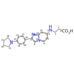 O=C(O)CCNc1ccn2cc(-c3ccc(N4CCCC4)cc3)nc2c1